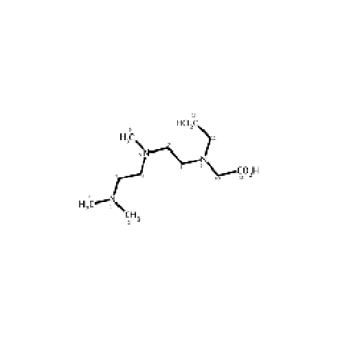 CN(C)CCN(C)CCN(CC(=O)O)CC(=O)O